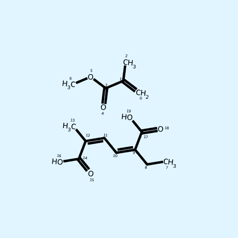 C=C(C)C(=O)OC.CCC(=CC=C(C)C(=O)O)C(=O)O